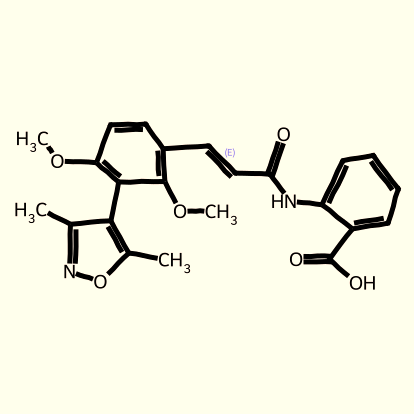 COc1ccc(/C=C/C(=O)Nc2ccccc2C(=O)O)c(OC)c1-c1c(C)noc1C